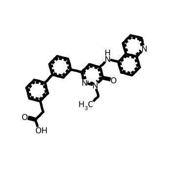 CCn1nc(-c2cccc(-c3cccc(CC(=O)O)c3)c2)cc(Nc2cccc3ncccc23)c1=O